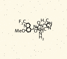 COc1ccc(-c2nc(C(=O)NCc3c(C)ncnc3C)c(CN)o2)c2ccc(C(F)(F)F)nc12